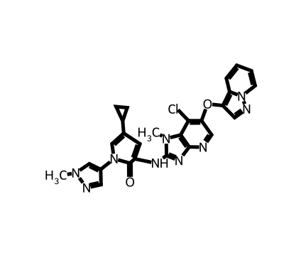 Cn1cc(-n2cc(C3CC3)cc(Nc3nc4ncc(Oc5cnn6ccccc56)c(Cl)c4n3C)c2=O)cn1